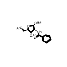 CO[C@H]1O[C@H](COC(C)=O)[C@H](OC(C)=O)[C@H]1NC(=O)c1ccccc1